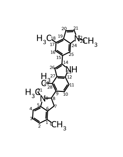 Cc1cccc2c1CC(c1ccc3[nH]c(-c4cc(C)c5ccn(C)c5c4)cc3c1C)N2C